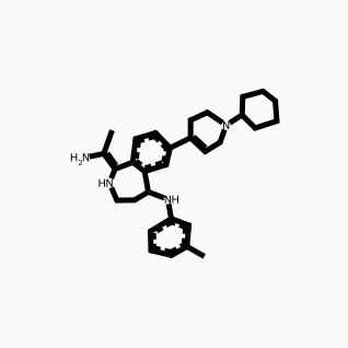 C/C(N)=C1/NCCC(Nc2cccc(C)c2)c2cc(C3=CCN(C4CCCCC4)CC3)ccc21